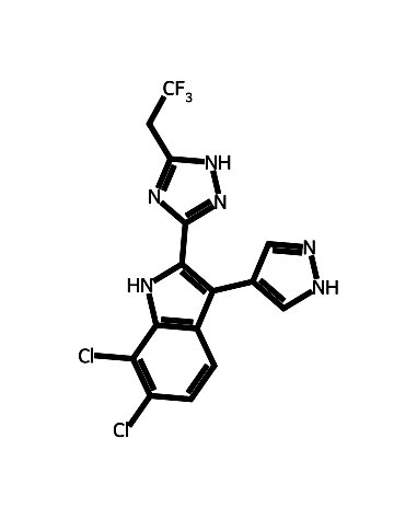 FC(F)(F)Cc1nc(-c2[nH]c3c(Cl)c(Cl)ccc3c2-c2cn[nH]c2)n[nH]1